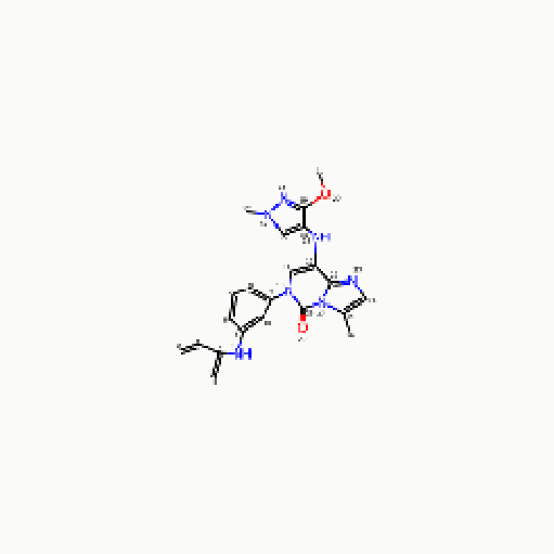 C=CC(=C)Nc1cccc(-n2cc(Nc3cn(C)nc3OC)c3ncc(C)n3c2=O)c1